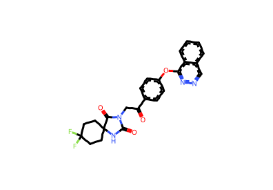 O=C(CN1C(=O)NC2(CCC(F)(F)CC2)C1=O)c1ccc(Oc2nncc3ccccc23)cc1